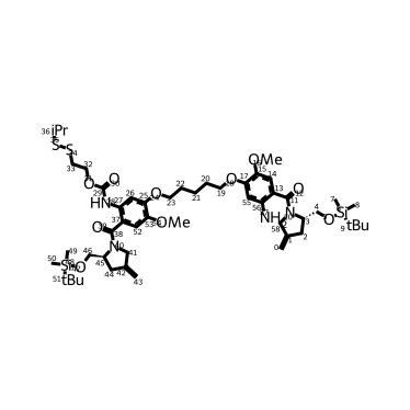 C=C1C[C@@H](CO[Si](C)(C)C(C)(C)C)N(C(=O)c2cc(OC)c(OCCCCCOc3cc(NC(=O)OCCSSC(C)C)c(C(=O)N4CC(=C)C[C@H]4CO[Si](C)(C)C(C)(C)C)cc3OC)cc2N)C1